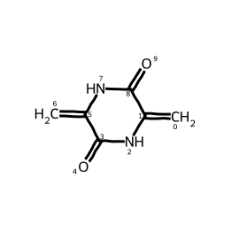 C=c1[nH]c(=O)c(=C)[nH]c1=O